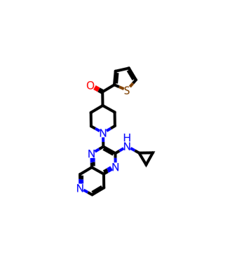 O=C(c1cccs1)C1CCN(c2nc3cnccc3nc2NC2CC2)CC1